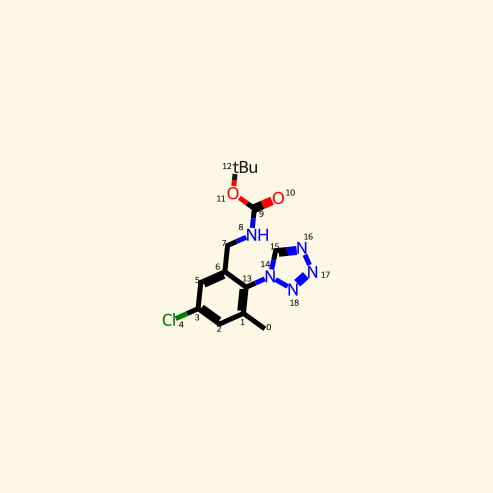 Cc1cc(Cl)cc(CNC(=O)OC(C)(C)C)c1-n1cnnn1